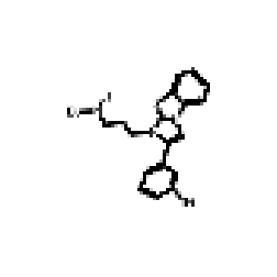 CCN(CC)CCCN1C(c2cccc(C(C)C)c2)=CN2c3ccccc3SC12